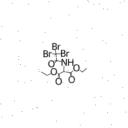 CCOC(=O)C(NC(=O)C(Br)(Br)Br)C(=O)OCC